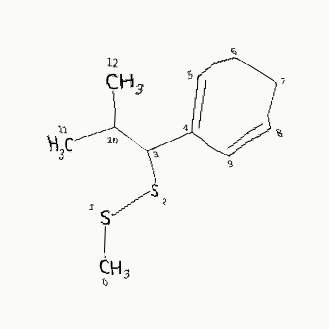 CSSC(C1=CCCC=C1)C(C)C